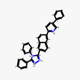 c1ccc(-c2ccc(-c3ccc4cc(-c5nnc(-c6ccccc6)n5-c5ccccc5)ccc4c3)nc2)cc1